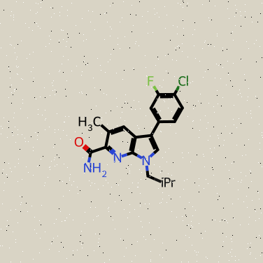 Cc1cc2c(-c3ccc(Cl)c(F)c3)cn(CC(C)C)c2nc1C(N)=O